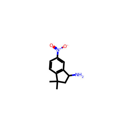 CC1(C)CC(N)c2cc([N+](=O)[O-])ccc21